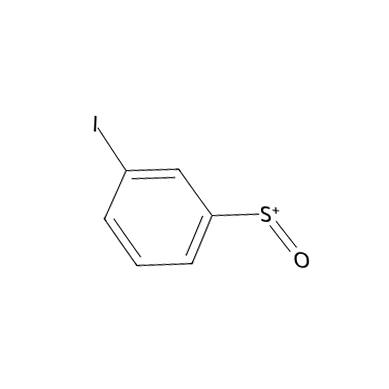 O=[S+]c1cccc(I)c1